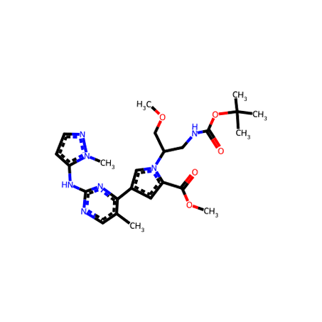 COCC(CNC(=O)OC(C)(C)C)n1cc(-c2nc(Nc3ccnn3C)ncc2C)cc1C(=O)OC